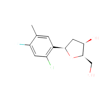 Cc1cc([C@H]2C[C@@H](O)[C@@H](CO)O2)c(Cl)cc1F